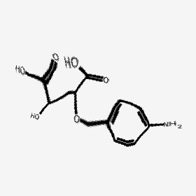 Nc1ccc(OC(C(=O)O)C(O)C(=O)O)cc1